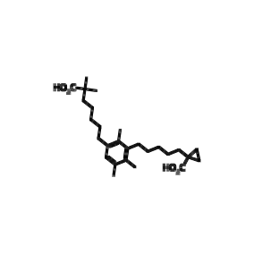 Cc1cc(CCCCCC(C)(C)C(=O)O)c(C)c(CCCCCC2(C(=O)O)CC2)c1C